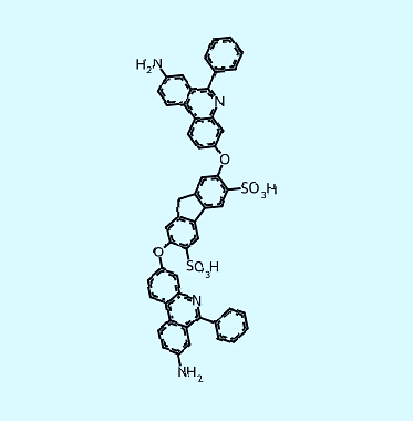 Nc1ccc2c(c1)c(-c1ccccc1)nc1cc(Oc3cc4c(cc3S(=O)(=O)O)-c3cc(S(=O)(=O)O)c(Oc5ccc6c(c5)nc(-c5ccccc5)c5cc(N)ccc56)cc3C4)ccc12